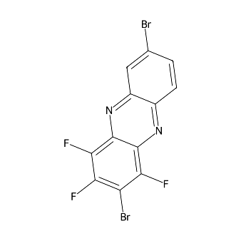 Fc1c(Br)c(F)c2nc3ccc(Br)cc3nc2c1F